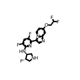 Fc1cc(F)c(-c2cnc3cc(OCC(F)F)ccn23)nc1N[C@H]1CNC[C@@H]1F